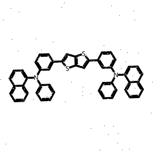 c1ccc(N(c2cccc(-c3cc4sc(-c5cccc(N(c6ccccc6)c6cccc7ccccc67)c5)cc4s3)c2)c2cccc3ccccc23)cc1